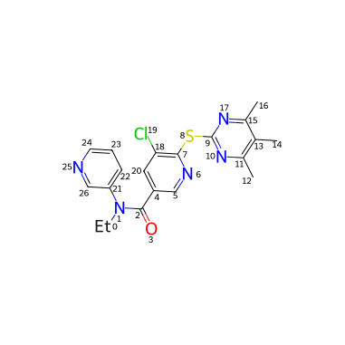 CCN(C(=O)c1cnc(Sc2nc(C)c(C)c(C)n2)c(Cl)c1)c1cccnc1